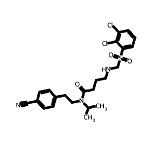 CC(C)N(CCc1ccc(C#N)cc1)C(=O)CCCNCS(=O)(=O)c1cccc(Cl)c1Cl